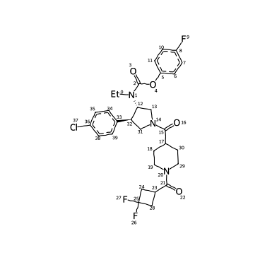 CCN(C(=O)Oc1ccc(F)cc1)[C@@H]1CN(C(=O)C2CCN(C(=O)C3CC(F)(F)C3)CC2)C[C@H]1c1ccc(Cl)cc1